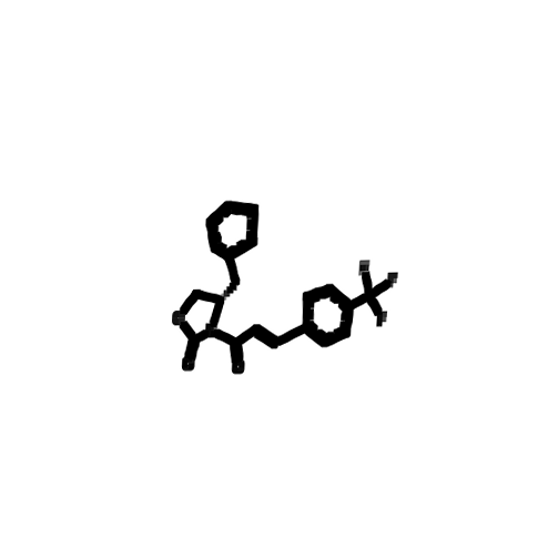 O=C(/C=C/c1ccc(C(F)(F)F)cc1)N1C(=O)OC[C@@H]1Cc1ccccc1